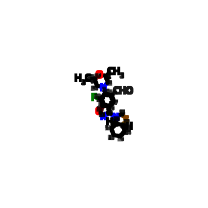 C[C@@H]1CN(c2c(C=O)cc3c(N4CS[C@H]5CCCC[C@@H]54)noc3c2F)C[C@@H](C)O1